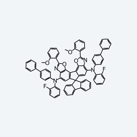 COc1ccccc1-c1nc2c(N(c3ccc(-c4ccccc4)cc3)c3ccccc3F)cc3c(c2o1)-c1c(cc(N(c2ccc(-c4ccccc4)cc2)c2ccccc2F)c2nc(-c4ccccc4OC)oc12)C31c2ccccc2-c2ccccc21